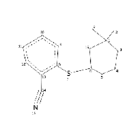 CC1(C)CCCC(Sc2ccccc2C#N)C1